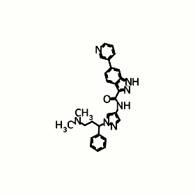 CN(C)CCC(c1ccccc1)n1cc(NC(=O)c2n[nH]c3cc(-c4cccnc4)ccc23)cn1